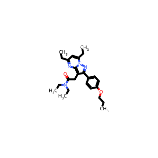 CCCOc1ccc(-c2nn3c(CC)cc(CC)nc3c2CC(=O)N(CC)CC)cc1